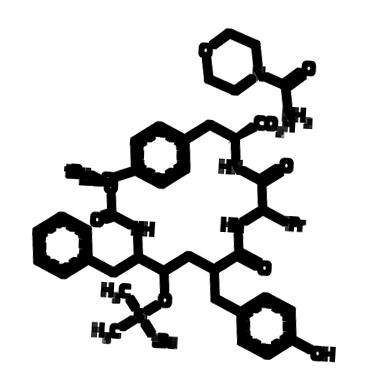 CC(C)COc1ccc(C[C@H](NC(=O)C(NC(=O)C(Cc2ccc(O)cc2)CC(O[Si](C)(C)C(C)(C)C)C(Cc2ccccc2)NC(=O)OC(C)(C)C)C(C)C)C(=O)O)cc1.NC(=O)N1CCOCC1